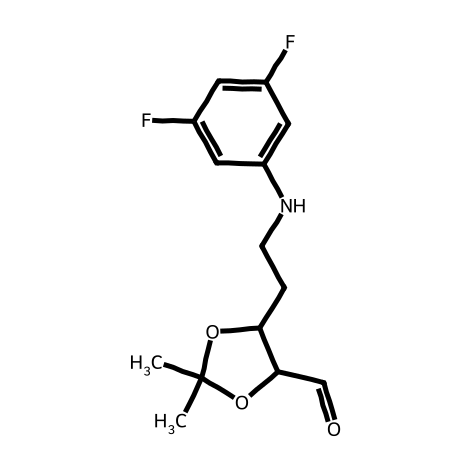 CC1(C)OC(C=O)C(CCNc2cc(F)cc(F)c2)O1